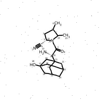 CC1C[C@@H](C#N)N(C(=O)[C@@H](N)C23CC4CC(CC(O)(C4)C2)C3)C1C